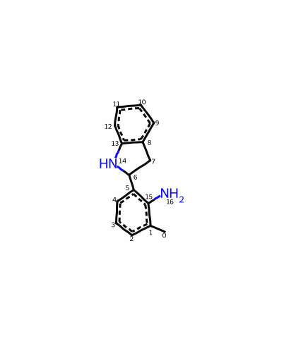 Cc1cccc(C2Cc3ccccc3N2)c1N